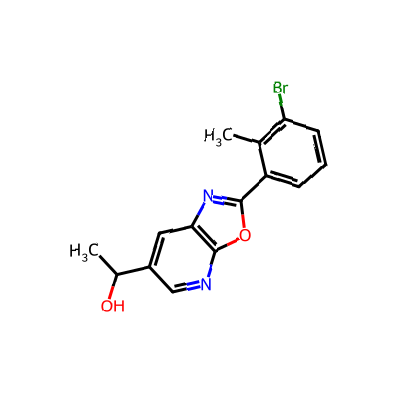 Cc1c(Br)cccc1-c1nc2cc(C(C)O)cnc2o1